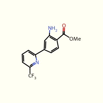 COC(=O)c1ccc(-c2cccc(C(F)(F)F)n2)cc1N